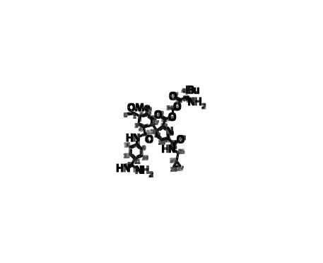 C=Cc1cc(C(=O)Nc2ccc(C(=N)N)cc2)c(-c2ccc(C(=O)NCC3CC3)nc2C(=O)OCOC(=O)[C@@H](N)C(C)CC)cc1OC